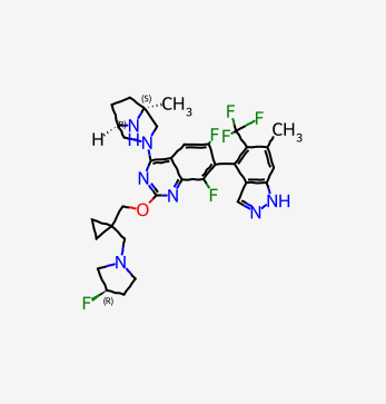 Cc1cc2[nH]ncc2c(-c2c(F)cc3c(N4C[C@H]5CC[C@@](C)(C4)N5)nc(OCC4(CN5CC[C@@H](F)C5)CC4)nc3c2F)c1C(F)(F)F